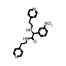 O=C(NCCc1ccncc1)C(NCCc1ccncc1)c1cccc([N+](=O)[O-])c1